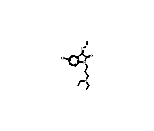 CCN(CC)CCCN1C(=O)/C(=N\OC)c2cc(Cl)ccc21